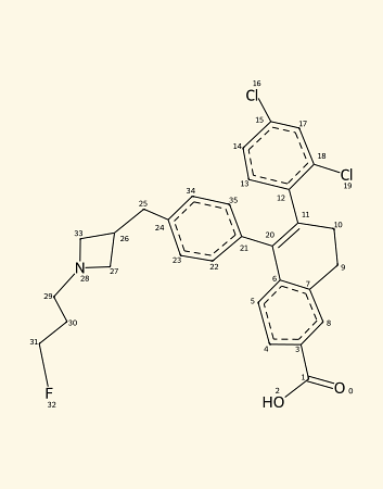 O=C(O)c1ccc2c(c1)CCC(c1ccc(Cl)cc1Cl)=C2c1ccc(CC2CN(CCCF)C2)cc1